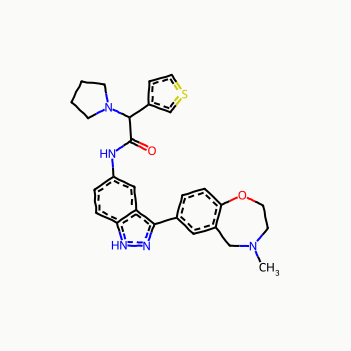 CN1CCOc2ccc(-c3n[nH]c4ccc(NC(=O)C(c5ccsc5)N5CCCC5)cc34)cc2C1